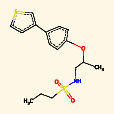 CCCS(=O)(=O)NCC(C)Oc1ccc(-c2ccsc2)cc1